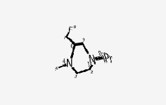 CC(C)N1CCN(C)C(CF)C1